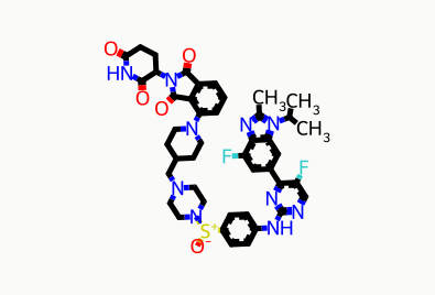 Cc1nc2c(F)cc(-c3nc(Nc4ccc([S+]([O-])N5CCN(CC6CCN(c7cccc8c7C(=O)N(C7CCC(=O)NC7=O)C8=O)CC6)CC5)cc4)ncc3F)cc2n1C(C)C